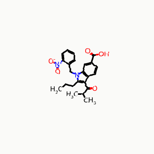 CCCc1c(C(=O)C(C)C)c2ccc(C(=O)O)cc2n1Cc1ccccc1[N+](=O)[O-]